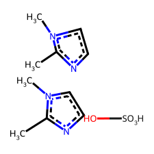 Cc1nccn1C.Cc1nccn1C.O=S(=O)(O)O